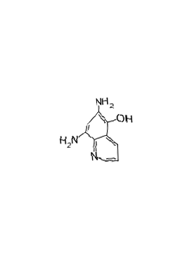 Nc1cc(N)c2ncccc2c1O